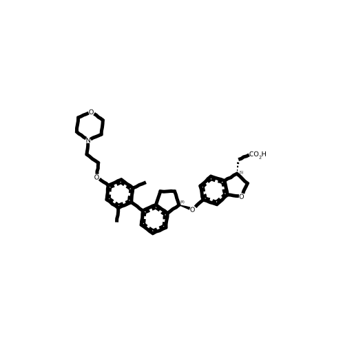 Cc1cc(OCCN2CCOCC2)cc(C)c1-c1cccc2c1CC[C@H]2Oc1ccc2c(c1)OC[C@H]2CC(=O)O